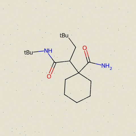 CC(C)(C)CC(C(=O)NC(C)(C)C)C1(C(N)=O)CCCCC1